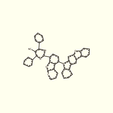 N#Cc1c(-c2ccccc2)nc(-c2ccc(-n3c4ccccc4c4cc5c(cc43)oc3ccccc35)c3c2oc2ccccc23)nc1-c1ccccc1